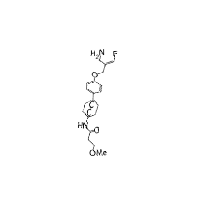 COCCC(=O)NC12CCC(c3ccc(OC/C(=C/F)CN)cc3)(CC1)CC2